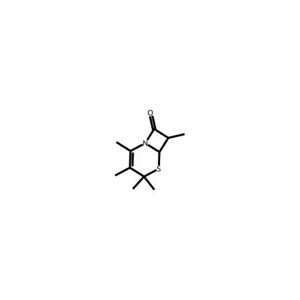 CC1=C(C)C(C)(C)SC2C(C)C(=O)N12